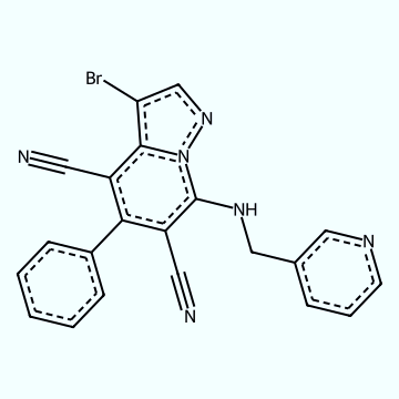 N#Cc1c(-c2ccccc2)c(C#N)c2c(Br)cnn2c1NCc1cccnc1